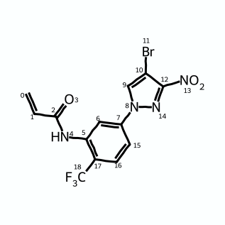 C=CC(=O)Nc1cc(-n2cc(Br)c([N+](=O)[O-])n2)ccc1C(F)(F)F